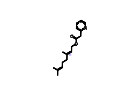 CC(C)=CCC/C(C)=C/COC(=O)Cc1ccccn1